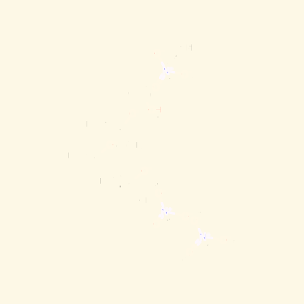 CC(C)[O-].CC(C)[O-].CC(C)[O-].CCO.O=[N+]([O-])[O-].O=[N+]([O-])[O-].O=[N+]([O-])[O-].[Al+3].[Rh+3]